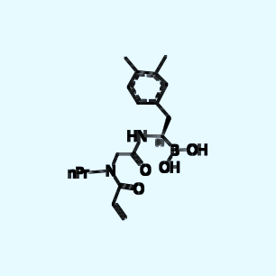 C=CC(=O)N(CCC)CC(=O)N[C@@H](Cc1ccc(C)c(C)c1)B(O)O